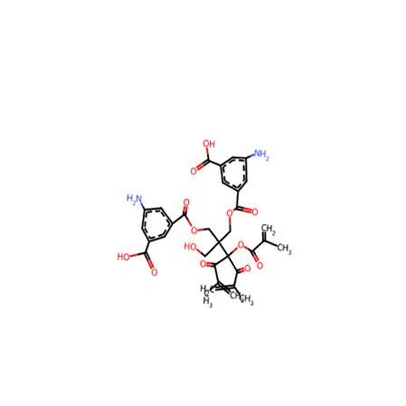 C=C(C)C(=O)OC(C(=O)C(=C)C)(C(=O)C(=C)C)C(CO)(COC(=O)c1cc(N)cc(C(=O)O)c1)COC(=O)c1cc(N)cc(C(=O)O)c1